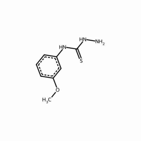 COc1cccc(NC(=S)NN)c1